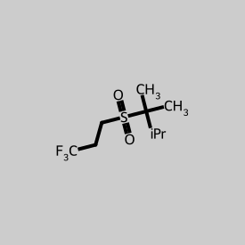 CC(C)C(C)(C)S(=O)(=O)CCC(F)(F)F